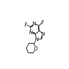 Fc1nc(F)c2ncn(C3CCCCO3)c2n1